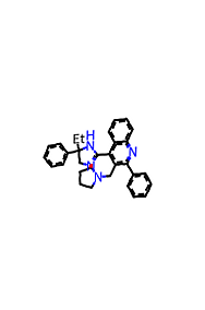 CCC1(c2ccccc2)CN=C(c2c(CN3CCCC3)c(-c3ccccc3)nc3ccccc23)N1